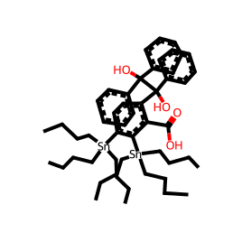 CCC[CH2][Sn]([CH2]CCC)([CH2]CCC)[c]1ccc(C(O)(c2ccccc2)C(O)(c2ccccc2)c2ccccc2)c(C(=O)O)[c]1[Sn]([CH2]CCC)([CH2]CCC)[CH2]CCC